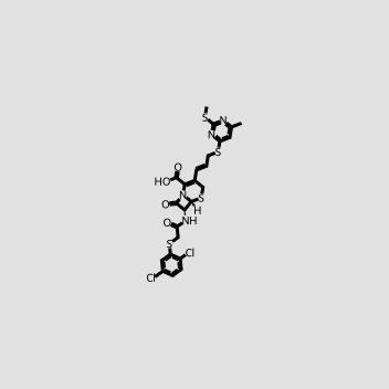 CSc1nc(C)cc(SC/C=C/C2=C(C(=O)O)N3C(=O)[C@@H](NC(=O)CSc4cc(Cl)ccc4Cl)[C@H]3SC2)n1